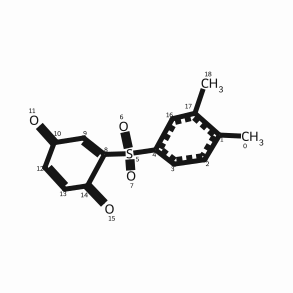 Cc1ccc(S(=O)(=O)C2=CC(=O)C=CC2=O)cc1C